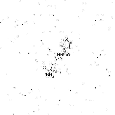 NC(=O)[C@@H](N)CCCCNC(=O)c1ccccc1